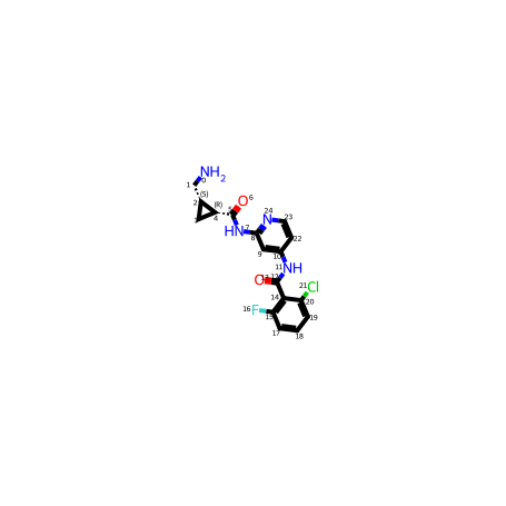 NC[C@H]1C[C@H]1C(=O)Nc1cc(NC(=O)c2c(F)cccc2Cl)ccn1